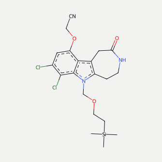 C[Si](C)(C)CCOCn1c2c(c3c(OCC#N)cc(Cl)c(Cl)c31)CC(=O)NCC2